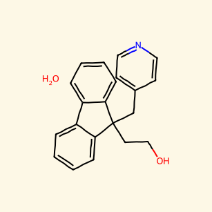 O.OCCC1(Cc2ccncc2)c2ccccc2-c2ccccc21